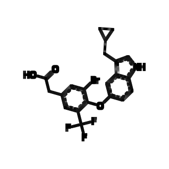 O=C(O)Cc1cc(Br)c(Oc2ccc3[nH]cc(CC4CC4)c3c2)c(C(F)(F)F)c1